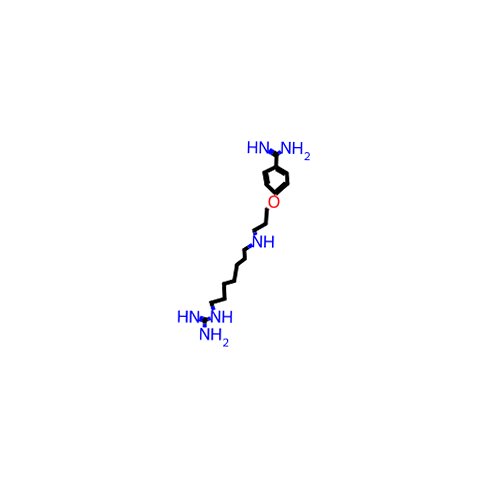 N=C(N)NCCCCCCCNCCCOc1ccc(C(=N)N)cc1